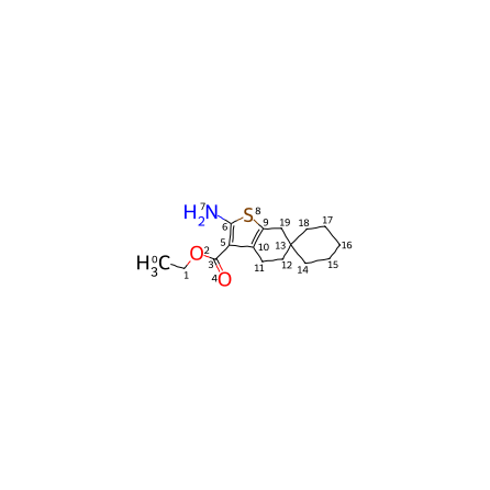 CCOC(=O)c1c(N)sc2c1CCC1(CCCCC1)C2